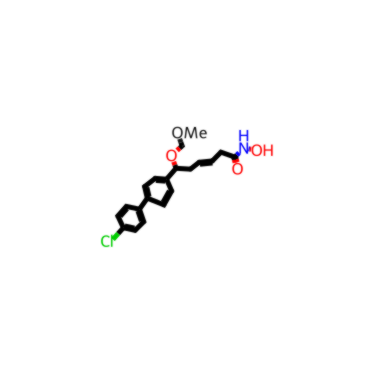 COCOC(CC=CCC(=O)NO)c1ccc(-c2ccc(Cl)cc2)cc1